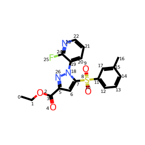 CCOC(=O)c1cc(S(=O)(=O)c2cccc(C)c2)n(-c2cccnc2F)n1